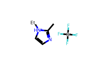 CC[NH+]1C=CN=C1C.F[B-](F)(F)F